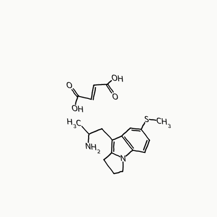 CSc1ccc2c(c1)c(CC(C)N)c1n2CCC1.O=C(O)C=CC(=O)O